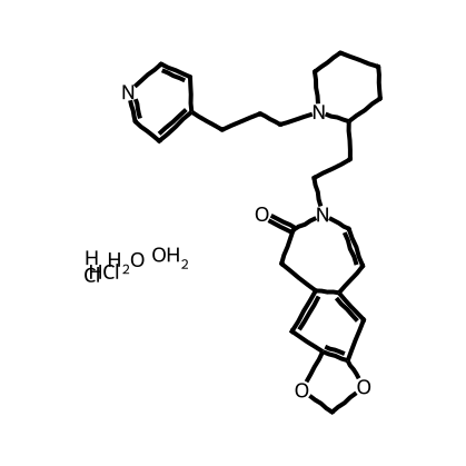 Cl.Cl.O.O.O=C1Cc2cc3c(cc2C=CN1CCC1CCCCN1CCCc1ccncc1)OCO3